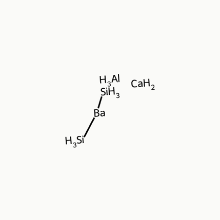 [AlH3].[CaH2].[SiH3][Ba][SiH3]